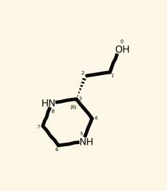 OCC[C@@H]1CNCCN1